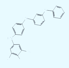 CC(C)(C)c1cc(Nc2ccc(Nc3cccc(Nc4ccccc4)c3)cc2)cc(C(C)(C)C)c1O